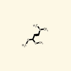 COC(C=CN(C)C)OC